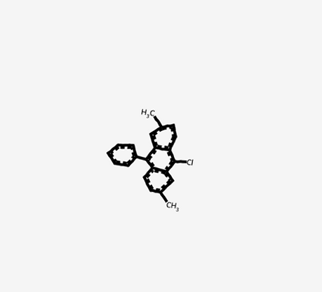 Cc1ccc2c(-c3ccccc3)c3cc(C)ccc3c(Cl)c2c1